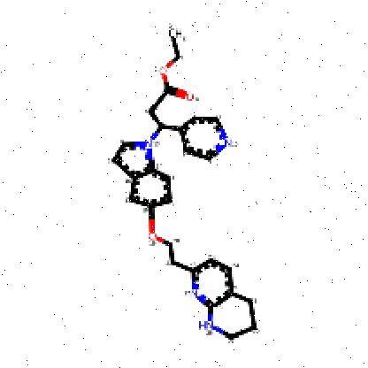 CCOC(=O)CC(c1ccncc1)n1ccc2cc(OCCc3ccc4c(n3)NCCC4)ccc21